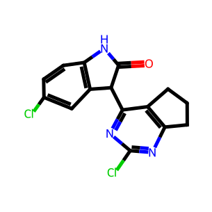 O=C1Nc2ccc(Cl)cc2C1c1nc(Cl)nc2c1CCC2